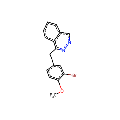 FC(F)(F)Oc1ccc(Cc2nncc3ccccc23)cc1Br